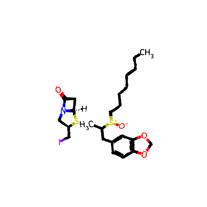 CCCCCCCC[S+]([O-])C(C)Cc1ccc2c(c1)OCO2.O=C1C[C@H]2SC(CI)CN12